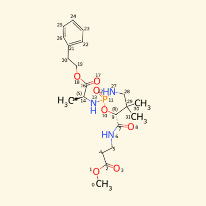 COC(=O)CCNC(=O)[C@@H]1OP(=O)(N[C@@H](C)C(=O)OCCc2ccccc2)NCC1(C)C